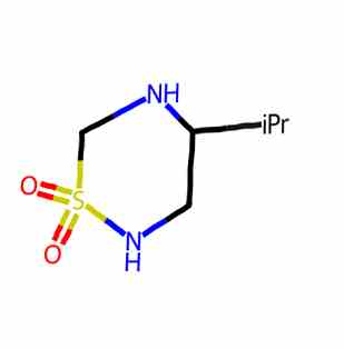 CC(C)C1CNS(=O)(=O)CN1